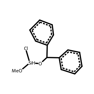 CO[SiH](Cl)OC(c1ccccc1)c1ccccc1